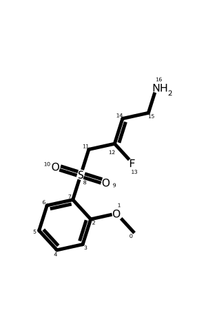 COc1ccccc1S(=O)(=O)C/C(F)=C/CN